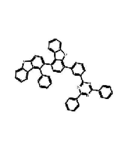 c1ccc(-c2nc(-c3ccccc3)nc(-c3cccc(-c4ccc(-c5ccc6sc7ccccc7c6c5-c5ccccc5)c5c4oc4ccccc45)c3)n2)cc1